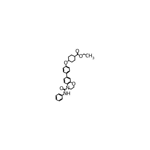 CCOC(=O)C1CCC(Oc2ccc(-c3ccc4c(c3)OCCN4C(=O)Nc3ccccc3)cc2)CC1